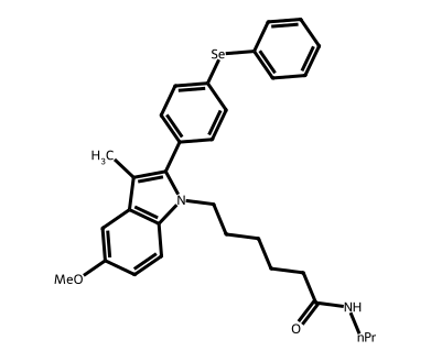 CCCNC(=O)CCCCCn1c(-c2ccc([Se]c3ccccc3)cc2)c(C)c2cc(OC)ccc21